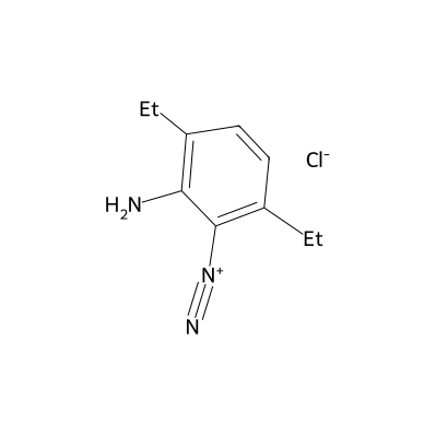 CCc1ccc(CC)c([N+]#N)c1N.[Cl-]